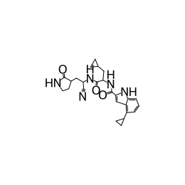 N#CC(CC1CCNC1=O)NC(=O)C(CC1CC1)NC(=O)c1cc2c(C3CC3)cccc2[nH]1